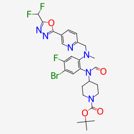 CN(Cc1ccc(-c2nnc(C(F)F)o2)cn1)c1cc(F)c(Br)cc1N(C=O)C1CCN(C(=O)OC(C)(C)C)CC1